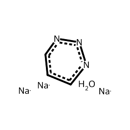 O.[Na].[Na].[Na].c1cnnnc1